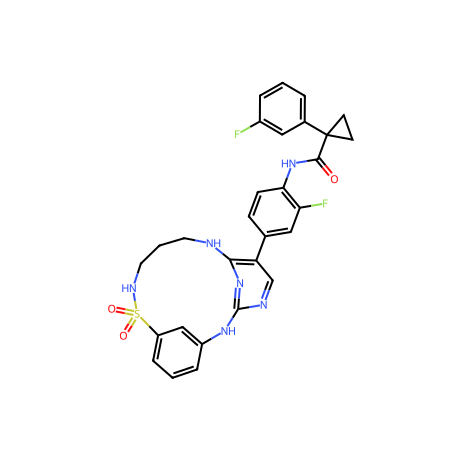 O=C(Nc1ccc(-c2cnc3nc2NCCCNS(=O)(=O)c2cccc(c2)N3)cc1F)C1(c2cccc(F)c2)CC1